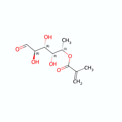 C=C(C)C(=O)O[C@@H](C)[C@H](O)[C@@H](O)[C@@H](O)C=O